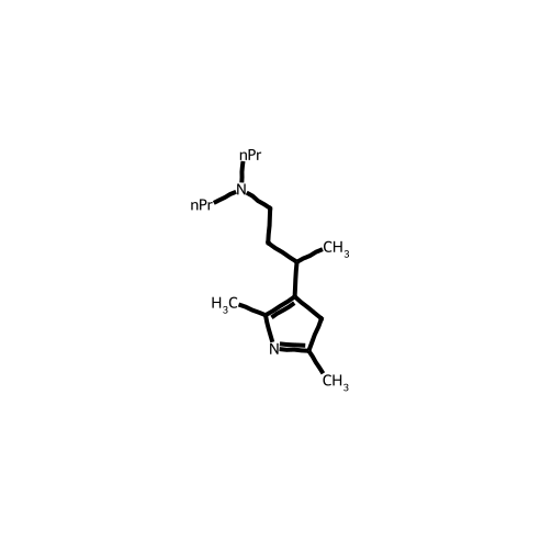 CCCN(CCC)CCC(C)C1=C(C)N=C(C)C1